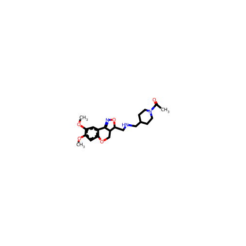 COc1cc2c(cc1OC)C1=NOC(CNCC3CCN(C(C)=O)CC3)C1CO2